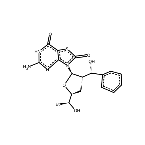 CC[C@H](O)[C@@H]1C[C@@H]([C@H](O)c2ccccc2)[C@H](n2c(=O)sc3c(=O)[nH]c(N)nc32)O1